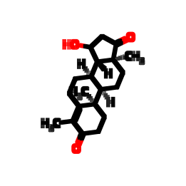 CC1=C2CC[C@@H]3[C@@H](CC[C@]4(C)C(=O)CC(O)[C@@H]34)[C@@]2(C)CCC1=O